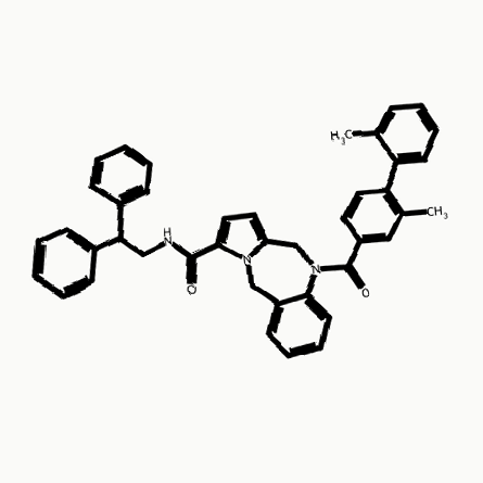 Cc1ccccc1-c1ccc(C(=O)N2Cc3ccc(C(=O)NCC(c4ccccc4)c4ccccc4)n3Cc3ccccc32)cc1C